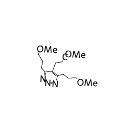 COCCCc1nnnc(CCCOC)c1CCCOC